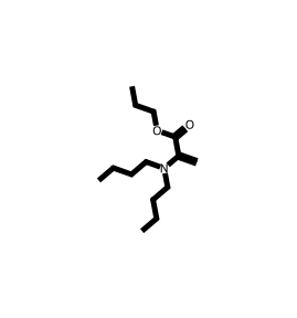 C=C(C(=O)OCCC)N(CCCC)CCCC